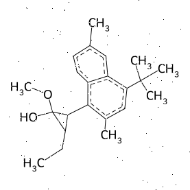 CCC1C(c2c(C)cc(C(C)(C)C)c3cc(C)ccc23)C1(O)OC